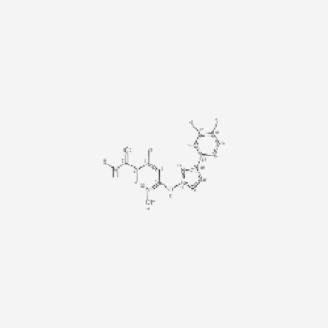 CNC(=O)C(C)/C(C)=C\C(=N\O)Oc1ccn(-c2ccc(C)c(C)c2)n1